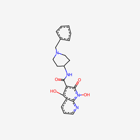 O=C(NC1CCN(Cc2ccccc2)CC1)c1c(O)c2cccnc2n(O)c1=O